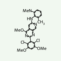 CNc1cccc(C)c1Nc1cc2c(OC)nc(-c3c(Cl)c(OC)cc(OC)c3Cl)nc2cn1